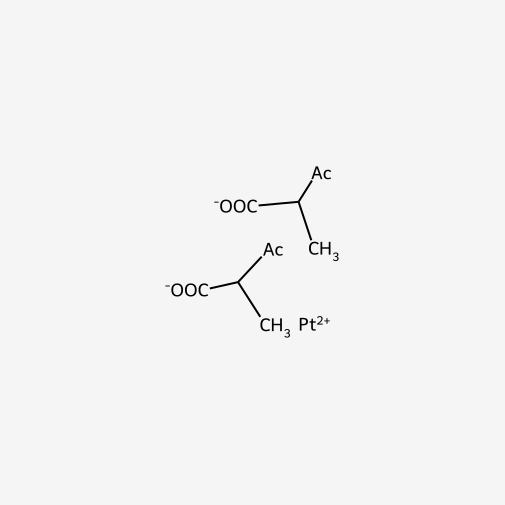 CC(=O)C(C)C(=O)[O-].CC(=O)C(C)C(=O)[O-].[Pt+2]